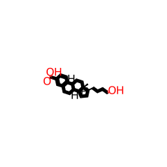 C[C@]12CC[C@@H]3c4ccc(C(=O)O)cc4CC[C@H]3[C@@H]1CC[C@@H]2CCCCO